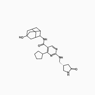 O=C1C[C@@H](CNc2ncc(C(=O)NC3C4CC5CC3CC(O)(C5)C4)c(C3CCCC3)n2)CN1